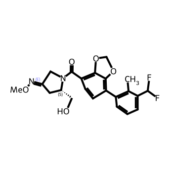 CO/N=C1\C[C@@H](CO)N(C(=O)c2ccc(-c3cccc(C(F)F)c3C)c3c2OCO3)C1